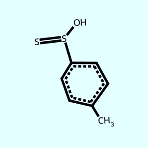 Cc1ccc(S(O)=S)cc1